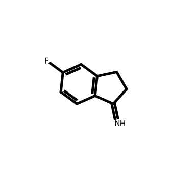 N=C1CCc2cc(F)ccc21